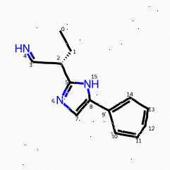 CC[C@@H](C=N)c1ncc(-c2[c]cccc2)[nH]1